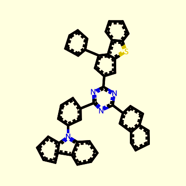 c1ccc(-c2cc(-c3nc(-c4cccc(-n5c6ccccc6c6ccccc65)c4)nc(-c4ccc5ccccc5c4)n3)cc3sc4ccccc4c23)cc1